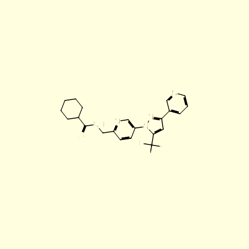 O=C(NCc1ccc(-n2nc(-c3cccnc3)cc2C(F)(F)F)cn1)C1CCCCC1